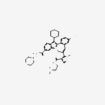 CC[C@@H](CN(CC)C(=O)c1cnn(C)c1C1=Cc2cc(OC)ccc2-c2c(C3CCCCC3)c3ccc(C(=O)NS(=O)(=O)N4CCOCC4)cc3n2C1)N(C)C